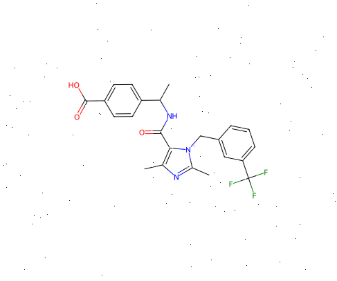 Cc1nc(C)n(Cc2cccc(C(F)(F)F)c2)c1C(=O)NC(C)c1ccc(C(=O)O)cc1